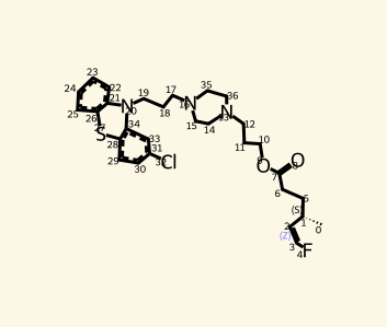 C[C@H](/C=C\F)CCC(=O)OCCCN1CCN(CCCN2c3ccccc3Sc3ccc(Cl)cc32)CC1